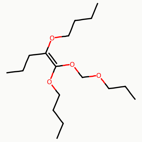 CCCCOC(CCC)=C(OCCCC)OCOCCC